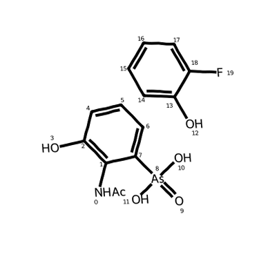 CC(=O)Nc1c(O)cccc1[As](=O)(O)O.Oc1ccccc1F